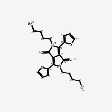 O=C1C2=C(c3cccs3)N(CCCCBr)C(=O)C2=C(c2cccs2)N1CCCCBr